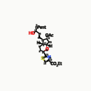 CCCCC[C@H](O)/C=C/[C@@H]1[C@H]2CC[C@H](c3nc(C(=O)OCC)cs3)O[C@H]2C[C@H]1OC(C)=O